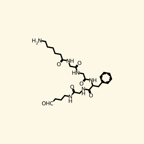 NCCCCCC(=O)NCC(=O)NCC(=O)NC(Cc1ccccc1)C(=O)NCC(=O)NCCCC=O